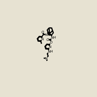 Cc1cccc(C(=O)NC23CC4CC(CC(NC(=O)Oc5cccc(NCCN(C)C)n5)(C4)C2)C3)n1